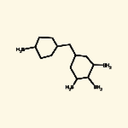 BC1CCC(CC2CC(B)C(B)C(B)C2)CC1